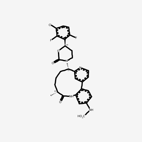 C[C@@H]1CCC[C@H](N2CC[C@H](c3c(F)ccc(Cl)c3F)OC2=O)c2cc(ccn2)-c2ccc(NC(=O)O)cc2NC1=O